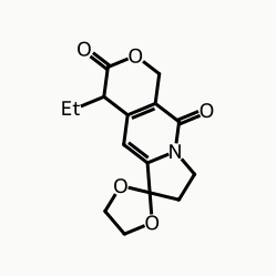 CCC1C(=O)OCc2c1cc1n(c2=O)CCC12OCCO2